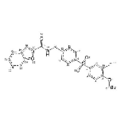 CCCCOc1ccc(S(=O)(=O)c2ccc(CNC(=O)c3cc4ccncc4o3)cc2)cc1F